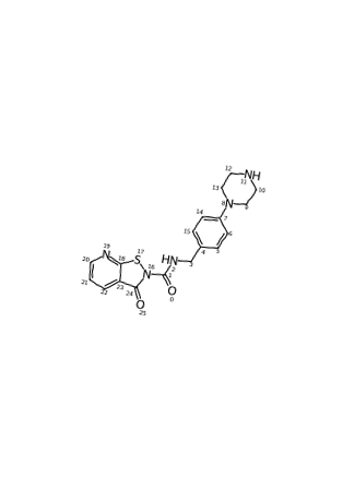 O=C(NCc1ccc(N2CCNCC2)cc1)n1sc2ncccc2c1=O